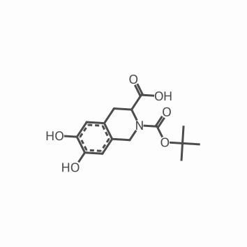 CC(C)(C)OC(=O)N1Cc2cc(O)c(O)cc2CC1C(=O)O